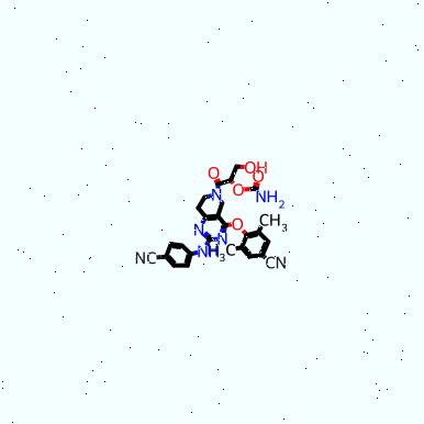 Cc1cc(C#N)cc(C)c1Oc1nc(Nc2ccc(C#N)cc2)nc2c1CN(C(=O)C(CO)OC(N)=O)CC2